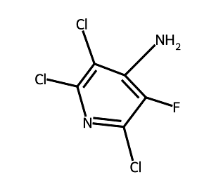 Nc1c(F)c(Cl)nc(Cl)c1Cl